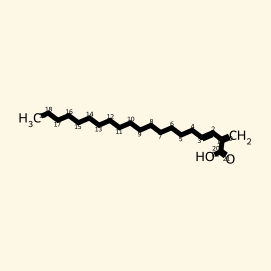 C=C(C=CCCCCCCCCCCCCCCCC)C(=O)O